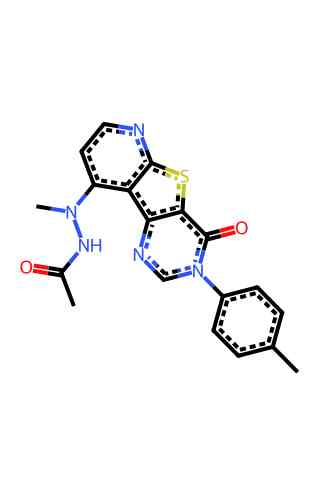 CC(=O)NN(C)c1ccnc2sc3c(=O)n(-c4ccc(C)cc4)cnc3c12